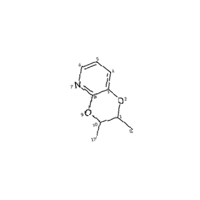 CC1Oc2cccnc2OC1C